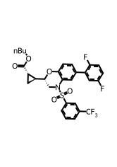 CCCCOC(=O)[C@H]1C[C@@H]1[C@H]1CN(S(=O)(=O)c2cccc(C(F)(F)F)c2)c2cc(-c3cc(F)ccc3F)ccc2O1